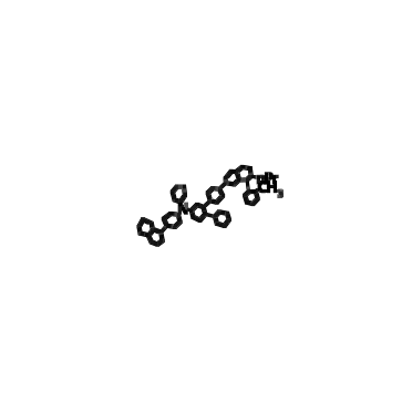 CCCc1ccc2ccc(-c3ccc(-c4cc(N(c5ccccc5)c5ccc(-c6cccc7ccccc67)cc5)ccc4-c4ccccc4)cc3)cc2c1-c1ccccc1C